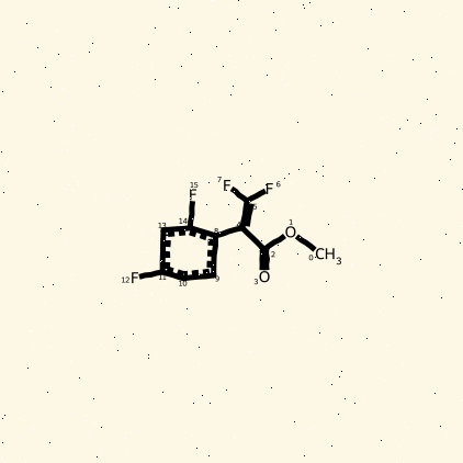 COC(=O)C(=C(F)F)c1ccc(F)cc1F